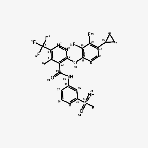 Cc1c(C(F)(F)F)nnc(Oc2ccc(C3CC3)c(F)c2F)c1C(=O)Nc1cccc(S(C)(=N)=O)c1